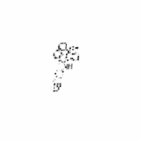 O=C(NC1CCC(CC2OCCO2)CC1)N[C@@H](c1ccccc1)C(O)(c1ccccc1)c1ccccc1